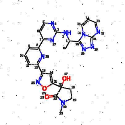 CC(Nc1nccc(-c2cccc(-c3cc(C4(O)CCN(C)C4=O)on3)n2)n1)c1nnc2ncccn12